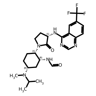 CC(C)N(C)[C@@H]1CC[C@H](N2CC[C@H](Nc3ncnc4ccc(C(F)(F)F)cc34)C2=O)[C@H](NC=O)C1